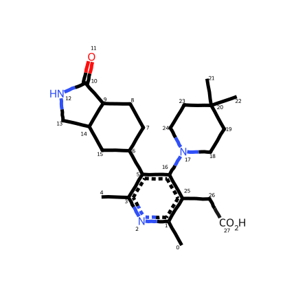 Cc1nc(C)c(C2CCC3C(=O)NCC3C2)c(N2CCC(C)(C)CC2)c1CC(=O)O